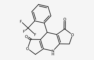 O=C1OCC2=C1C(c1ccccc1C(F)(F)F)C1=C(COC1=O)N2